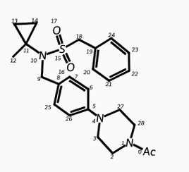 CC(=O)N1CCN(c2ccc(CN(C3(C)CC3)S(=O)(=O)Cc3ccccc3)cc2)CC1